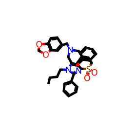 CCCCn1c(-c2ccccc2)nc(-c2ccccc2)c1CN(Cc1ccc2c(c1)OCO2)CC1CCS(=O)(=O)CC1